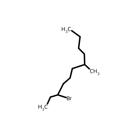 CCCCC(C)CCCC(Br)CC